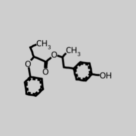 CCC(Oc1ccccc1)C(=O)OC(C)Cc1ccc(O)cc1